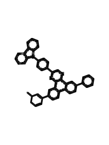 CC1C=C(c2ccc3c4ccc(-c5ccccc5)cc4c4ncc(-c5ccc(-n6c7ccccc7c7ccccc76)cc5)nc4c3c2)C=CC1